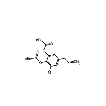 C=CCc1cc(Cl)c(OC(=O)CCCC)c(OC(=O)CCCC)c1